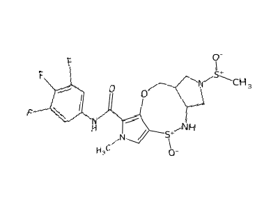 Cn1cc2c(c1C(=O)Nc1cc(F)c(F)c(F)c1)OCC1CN([S+](C)[O-])CC1N[S+]2[O-]